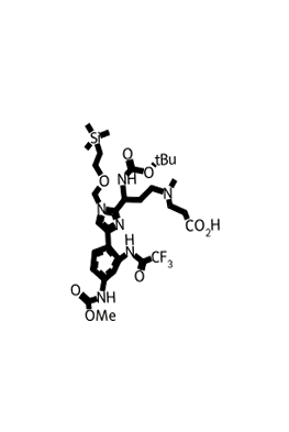 COC(=O)Nc1ccc(-c2cn(COCC[Si](C)(C)C)c(C(CCN(C)CCC(=O)O)NC(=O)OC(C)(C)C)n2)c(NC(=O)C(F)(F)F)c1